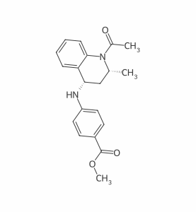 COC(=O)c1ccc(N[C@H]2C[C@@H](C)N(C(C)=O)c3ccccc32)cc1